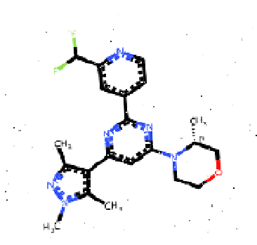 Cc1nn(C)c(C)c1-c1cc(N2CCOC[C@H]2C)nc(-c2ccnc(C(F)F)c2)n1